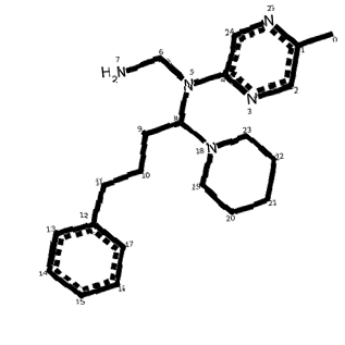 Cc1cnc(N(CN)C(CCCc2ccccc2)N2CCCCC2)cn1